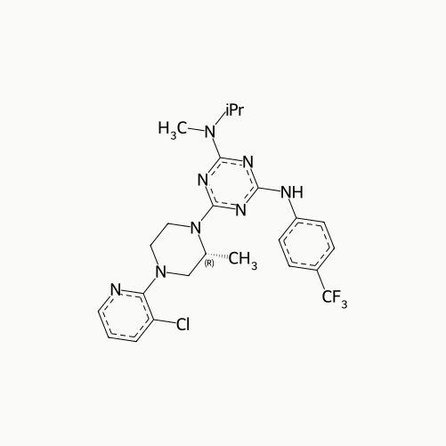 CC(C)N(C)c1nc(Nc2ccc(C(F)(F)F)cc2)nc(N2CCN(c3ncccc3Cl)C[C@H]2C)n1